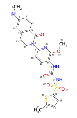 CNc1ccc2c(=O)n(-c3ncc(NC(=O)NS(=O)(=O)c4ccc(C)s4)c(OC)n3)ccc2c1